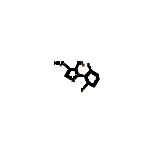 Nc1c(C(=O)O)cnn1-c1c(F)cccc1F